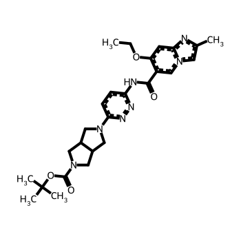 CCOc1cc2nc(C)cn2cc1C(=O)Nc1ccc(N2CC3CN(C(=O)OC(C)(C)C)CC3C2)nn1